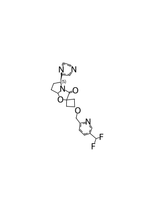 O=C1N2C(CC[C@H]2c2cnccn2)OC12CC(OCc1ccc(C(F)F)cn1)C2